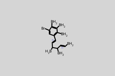 B/C=C/C(B)C(B)/C=C/c1cc(Br)c(B)c(B)c1B